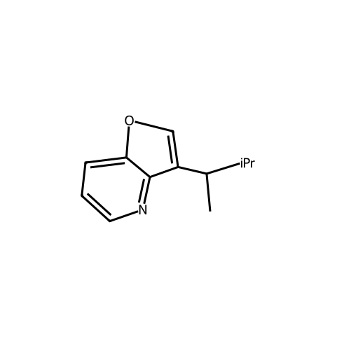 CC(C)C(C)c1coc2cccnc12